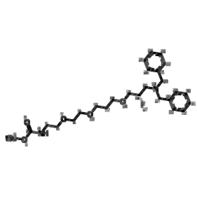 CC(C)(C)OC(=O)NCCOCCOCCCOC[C@@H](F)CN(Cc1ccccc1)Cc1ccccc1